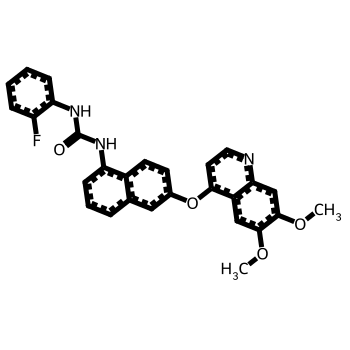 COc1cc2nccc(Oc3ccc4c(NC(=O)Nc5ccccc5F)cccc4c3)c2cc1OC